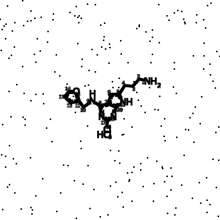 Cl.NCCCc1cc2c(NCc3ccco3)nc(Cl)nc2[nH]1